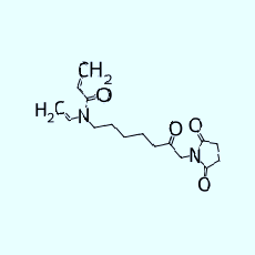 C=CC(=O)N(C=C)CCCCCC(=O)CN1C(=O)CCC1=O